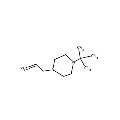 C=CCN1CCN(C(C)(C)C)CC1